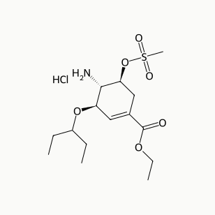 CCOC(=O)C1=C[C@@H](OC(CC)CC)[C@H](N)[C@@H](OS(C)(=O)=O)C1.Cl